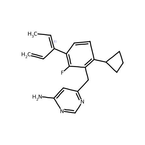 C=C/C(=C\C)c1ccc(C2CCC2)c(Cc2cc(N)ncn2)c1F